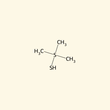 CS(C)(C)S